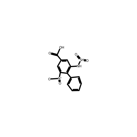 O=C(O)c1cc(N[SH](=O)=O)c(-c2ccccc2)c([N+](=O)[O-])c1